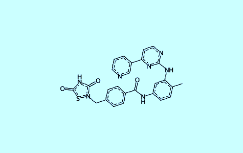 Cc1ccc(NC(=O)c2ccc(Cn3sc(=O)[nH]c3=O)cc2)cc1Nc1nccc(-c2cccnc2)n1